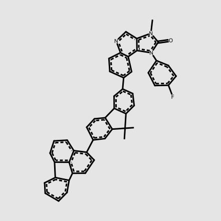 Cn1c(=O)n(-c2ccc(F)cc2)c2c3cc(-c4ccc5c(c4)-c4ccc(-c6ccc7c8c(cccc68)-c6ccccc6-7)cc4C5(C)C)ccc3ncc21